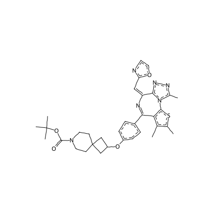 Cc1sc2c(c1C)C(c1ccc(OC3CC4(CCN(C(=O)OC(C)(C)C)CC4)C3)cc1)=N/C(=C/c1ncco1)c1nnc(C)n1-2